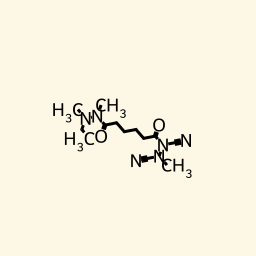 CCN(C)N(C)C(=O)CCCCC(=O)N(C#N)N(C)C#N